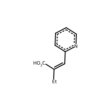 CCC(=Cc1ccccn1)C(=O)O